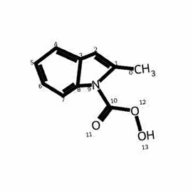 Cc1cc2ccccc2n1C(=O)OO